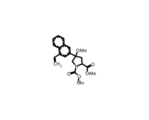 C=Cc1cc(C2(OC)CC(C(=O)OC)N(C(=O)OC(C)(C)C)C2)cc2ccccc12